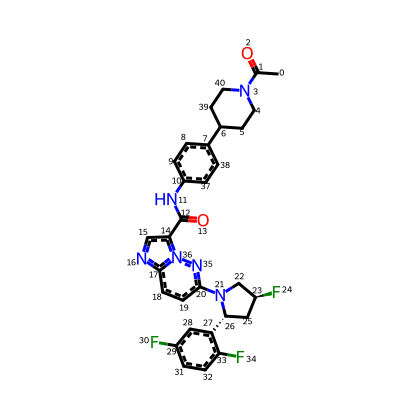 CC(=O)N1CCC(c2ccc(NC(=O)c3cnc4ccc(N5C[C@@H](F)C[C@@H]5c5cc(F)ccc5F)nn34)cc2)CC1